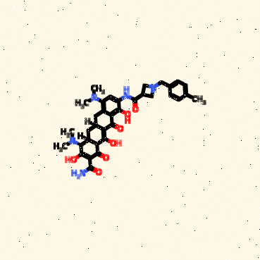 Cc1ccc(CN2CC(C(=O)Nc3cc(N(C)C)c4c(c3O)C(=O)C3=C(O)C5C(=O)C(C(N)=O)=C(O)[C@@H](N(C)C)[C@@H]5C[C@@H]3C4)C2)cc1